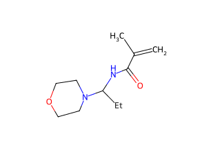 C=C(C)C(=O)NC(CC)N1CCOCC1